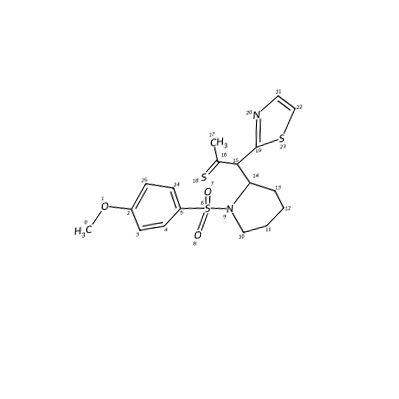 COc1ccc(S(=O)(=O)N2CCCCC2C(C(C)=S)c2nccs2)cc1